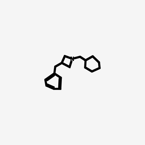 c1ccc(CC2CN(CC3CCCCC3)C2)cc1